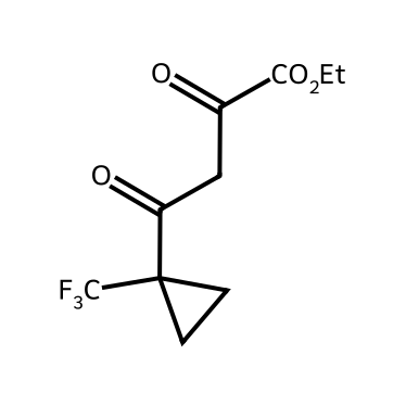 CCOC(=O)C(=O)CC(=O)C1(C(F)(F)F)CC1